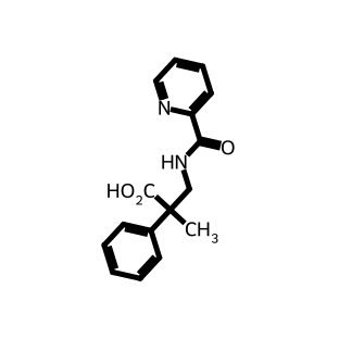 CC(CNC(=O)c1ccccn1)(C(=O)O)c1ccccc1